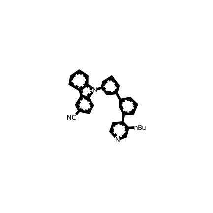 CCCCc1cnccc1-c1cccc(-c2cccc(-n3c4ccccc4c4cc(C#N)ccc43)c2)c1